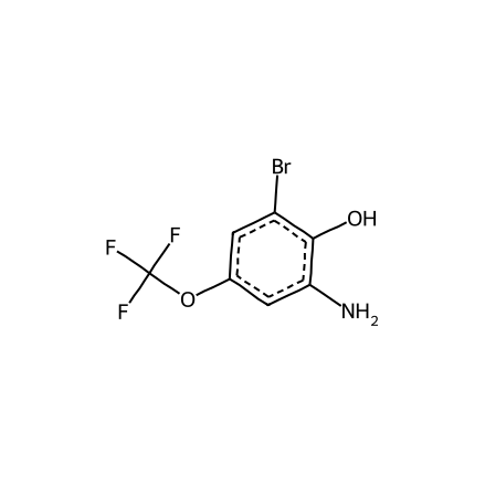 Nc1cc(OC(F)(F)F)cc(Br)c1O